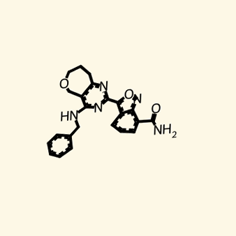 NC(=O)c1cccc2c(-c3nc4c(c(NCc5ccccc5)n3)COCCC4)onc12